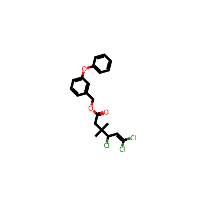 CC(C)(CC(=O)OCc1cccc(Oc2ccccc2)c1)C(Cl)C=C(Cl)Cl